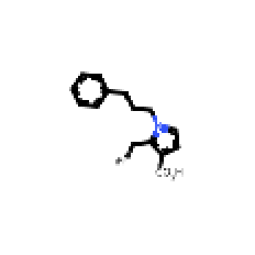 CC(C)Cc1c(C(=O)O)ccn1CCCc1ccccc1